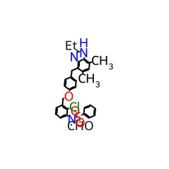 CCc1nc2c(Cc3ccc(OCc4cccc(N(C=O)S(=O)(=O)c5ccccc5)c4Cl)cc3)c(C)cc(C)c2[nH]1